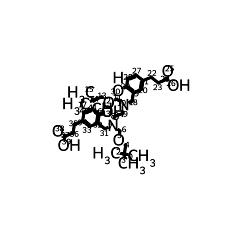 CC(C)(C)COCN(CCN(COCC(C)(C)C)Cc1cc(CCC(=O)O)ccc1O)Cc1cc(CCC(=O)O)ccc1O